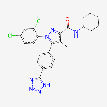 Cc1c(C(=O)NC2CCCCC2)nn(-c2ccc(Cl)cc2Cl)c1-c1ccc(-c2nnn[nH]2)cc1